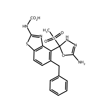 CS(=O)(=O)C1(c2c(Cc3ccccc3)ccc3sc(NC(=O)O)nc23)NN=C(N)O1